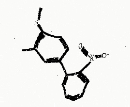 CSc1ccc(-c2ccccc2[N+](=O)[O-])cc1C